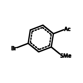 CSc1cc(Br)ccc1C(C)=O